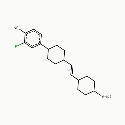 CCCCCCCC1CCC(/C=C/C2CCC(c3ccc(C#N)c(F)c3)CC2)CC1